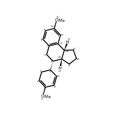 COC1=CCC([C@@H]2Cc3ccc(OC)cc3[C@@H]3CCC[C@@H]32)C=C1